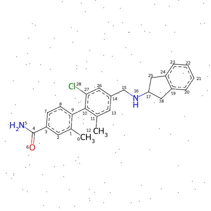 Cc1cc(C(N)=O)ccc1-c1c(C)cc(CNC2Cc3ccccc3C2)cc1Cl